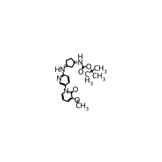 COc1cccn(-c2ccc(N[C@H]3CC[C@H](NC(=O)OC(C)(C)C)C3)nc2)c1=O